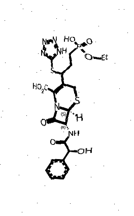 CCOP(=O)(O)CCC(Sc1nnn[nH]1)C1=C(C(=O)O)N2C(=O)[C@@H](NC(=O)C(O)c3ccccc3)[C@@H]2SC1